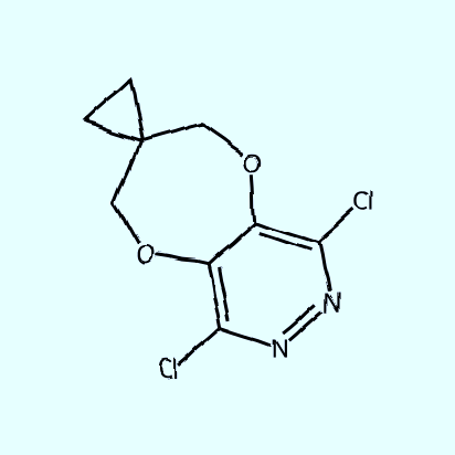 Clc1nnc(Cl)c2c1OCC1(CC1)CO2